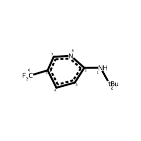 CC(C)(C)Nc1ccc(C(F)(F)F)cn1